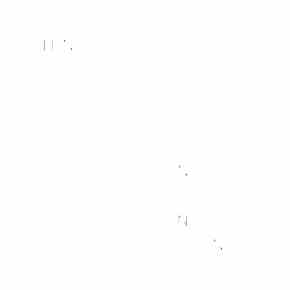 Nc1ccc(-n2ccnn2)cc1